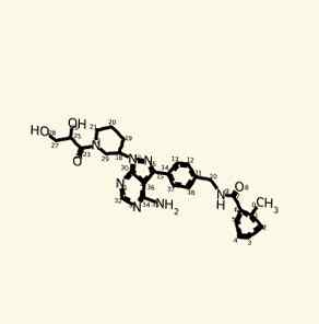 Cc1ccccc1C(=O)NCc1ccc(-c2nn(C3CCCN(C(=O)C(O)CO)C3)c3ncnc(N)c23)cc1